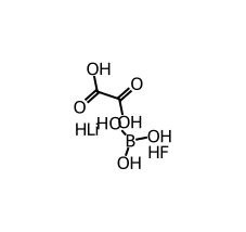 F.O=C(O)C(=O)O.OB(O)O.[LiH]